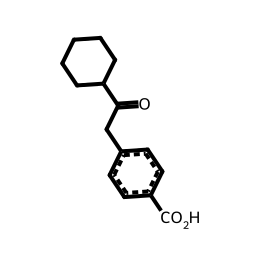 O=C(O)c1ccc(CC(=O)C2CCCCC2)cc1